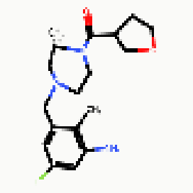 Cc1c(N)cc(F)cc1CN1CCN(C(=O)C2CCOC2)[C@@H](C)C1